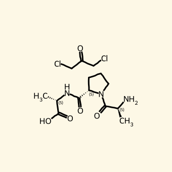 C[C@H](N)C(=O)N1CCC[C@H]1C(=O)N[C@@H](C)C(=O)O.O=C(CCl)CCl